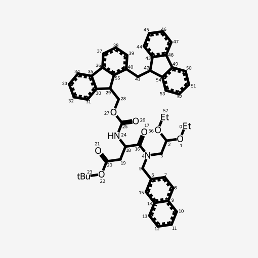 CCOC(CN(Cc1ccc2ccccc2c1)C(=O)C(CC(=O)OC(C)(C)C)NC(=O)OCC1c2ccccc2-c2cccc(CC3c4ccccc4-c4ccccc43)c21)OCC